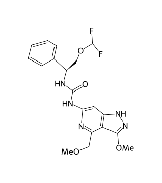 COCc1nc(NC(=O)N[C@H](COC(F)F)c2ccccc2)cc2[nH]nc(OC)c12